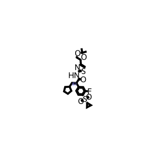 CC1(C)OCC(c2csc(NC(=O)/C(=C/C3CCCC3)c3ccc(S(=O)(=O)C4CC4)c(F)c3)n2)O1